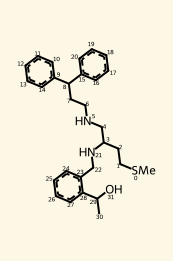 CSCCC(CNCCC(c1ccccc1)c1ccccc1)NCc1ccccc1C(C)O